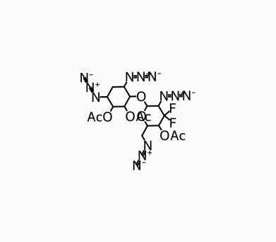 CC(=O)OC1C(N=[N+]=[N-])CC(N=[N+]=[N-])C(OC2OC(CN=[N+]=[N-])C(OC(C)=O)C(F)(F)C2N=[N+]=[N-])C1OC(C)=O